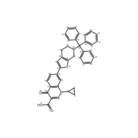 O=C(O)c1cn(C2CC2)c2cc(-c3cc4c(s3)CN(C(c3ccccc3)(c3ccccc3)c3ccccc3)CC4)ccc2c1=O